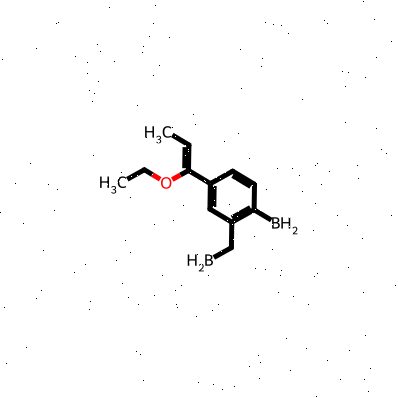 BCc1cc(C(=CC)OCC)ccc1B